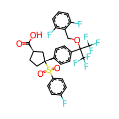 O=C(O)[C@@H]1CC[C@@](c2ccc(C(OCc3c(F)cccc3F)(C(F)(F)F)C(F)(F)F)cc2)(S(=O)(=O)c2ccc(F)cc2)C1